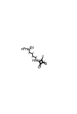 CCCN(CC)CCCCNc1c(C)c(=S)c1=O